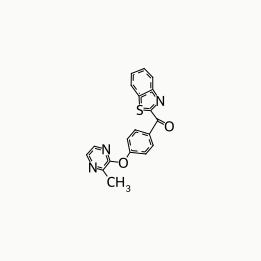 Cc1nccnc1Oc1ccc(C(=O)c2nc3ccccc3s2)cc1